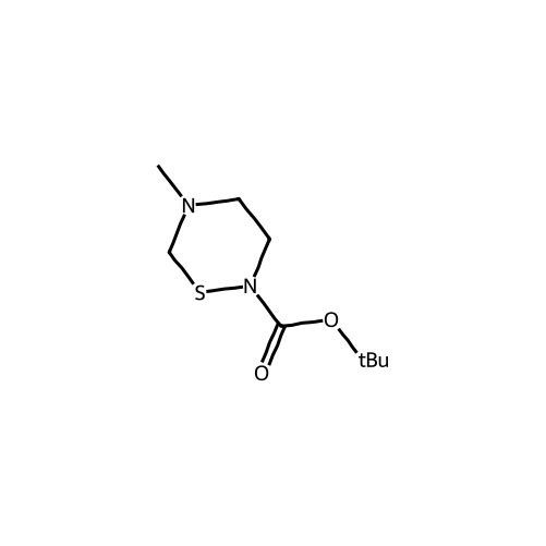 CN1CCN(C(=O)OC(C)(C)C)SC1